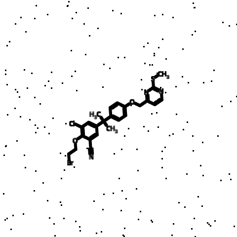 CSc1nccc(COc2ccc(C(C)(C)c3cc(Cl)c(OCCBr)c(C#N)c3)cc2)n1